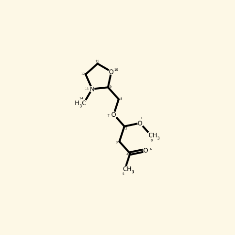 COC(CC(C)=O)OCC1OCCN1C